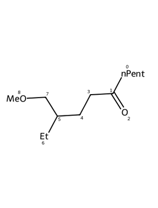 CCCCCC(=O)CCC(CC)COC